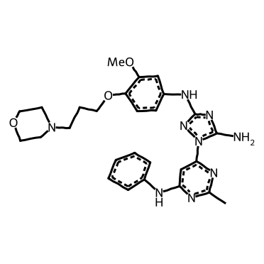 COc1cc(Nc2nc(N)n(-c3cc(Nc4ccccc4)nc(C)n3)n2)ccc1OCCCN1CCOCC1